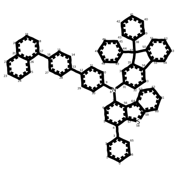 c1ccc(-c2ccc(N(c3ccc(-c4ccc(-c5cccc6ccccc56)cc4)cc3)c3ccc4c(c3)C(c3ccccc3)(c3ccccc3)c3ccccc3-4)c3c2sc2ccccc23)cc1